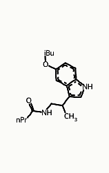 CCCC(=O)NCC(C)c1c[nH]c2ccc(OC(C)CC)cc12